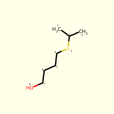 CC(C)SCCCCO